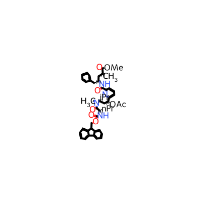 CCC[C@H](NC(=O)OCC1c2ccccc2-c2ccccc21)C(=O)N(C)[C@H](C[C@@H](OC(C)=O)c1cccc(C(=O)N[C@@H](Cc2ccccc2)C[C@H](C)C(=O)OC)n1)C(C)C